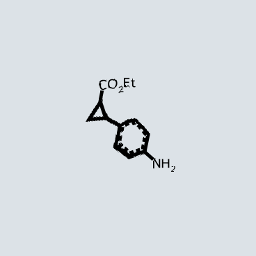 CCOC(=O)C1CC1c1ccc(N)cc1